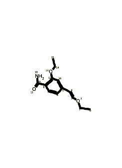 CCO/C=C/c1ccc(C(N)=O)c(OCC)c1